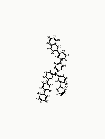 c1ccc2c(c#1)oc1ccc(N(c3ccc(-c4cccc(C5=CC=C6C=CC=CC6C5)c4)cc3)c3cccc(-c4ccc(-c5ccccc5)cc4)c3)cc12